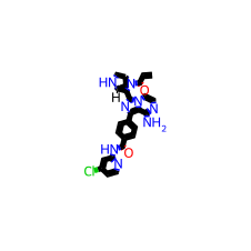 C=CC(=O)N1C2CN[C@@H](C2)C1c1nc(-c2ccc(C(=O)Nc3cc(Cl)ccn3)cc2)c2c(N)nccn12